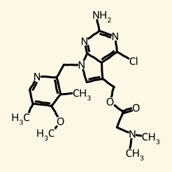 COc1c(C)cnc(Cn2cc(COC(=O)CN(C)C)c3c(Cl)nc(N)nc32)c1C